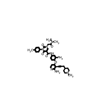 Cc1ccc(-n2c(=O)c(C(=O)Nc3ccc(Oc4ccnc(N)c4C#CCC4CCN(C)CC4)c(P)c3)cn(CC(=O)N(C)C)c2=O)cc1